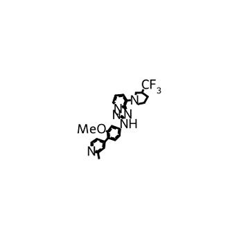 COc1cc(Nc2nc3c(N4CCCC(C(F)(F)F)C4)cccn3n2)ccc1-c1ccnc(C)c1